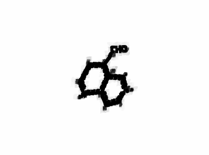 O=[C]c1ccnc2ccncc12